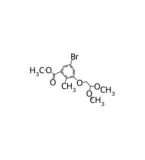 COC(=O)c1cc(Br)cc(OCC(OC)OC)c1C